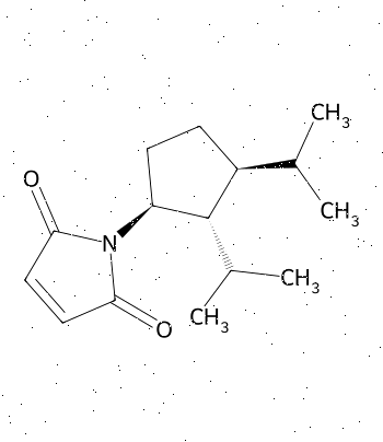 CC(C)[C@H]1[C@H](C(C)C)CC[C@@H]1N1C(=O)C=CC1=O